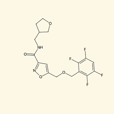 O=C(NCC1CCOC1)c1cc(COCc2c(F)c(F)cc(F)c2F)on1